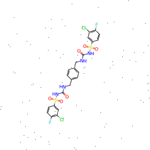 O=C(NCc1ccc(CNC(=O)NS(=O)(=O)c2ccc(F)c(Cl)c2)cc1)NS(=O)(=O)c1ccc(F)c(Cl)c1